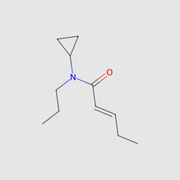 CC/C=C/C(=O)N(CCC)C1CC1